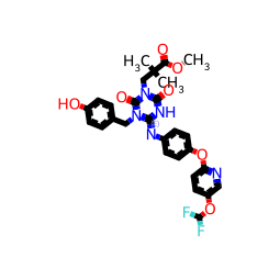 COC(=O)C(C)(C)Cn1c(=O)[nH]/c(=N\c2ccc(Oc3ccc(OC(F)F)cn3)cc2)n(Cc2ccc(O)cc2)c1=O